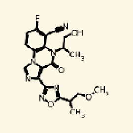 COCC(C)c1nc(-c2ncn3c2c(=O)n(C(C)CO)c2c(C#N)c(F)ccc23)no1